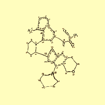 Cc1cccc2nc(NS(C)(=O)=O)nc(N3CCCCC3c3cc4nc5c(c(N6CCOCC6)n4n3)COCC5)c12